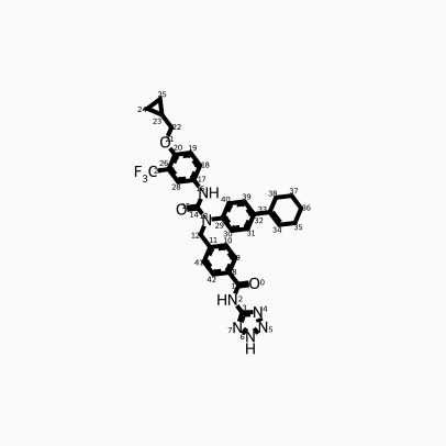 O=C(Nc1nn[nH]n1)c1ccc(CN(C(=O)Nc2ccc(OCC3CC3)c(C(F)(F)F)c2)c2ccc(C3=CCCCC3)cc2)cc1